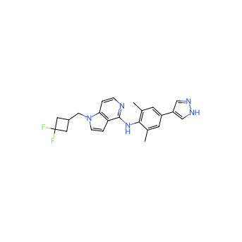 Cc1cc(-c2cn[nH]c2)cc(C)c1Nc1nccc2c1ccn2CC1CC(F)(F)C1